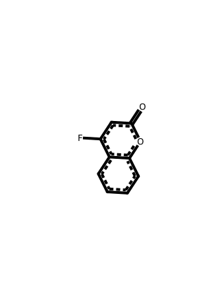 O=c1cc(F)c2ccccc2o1